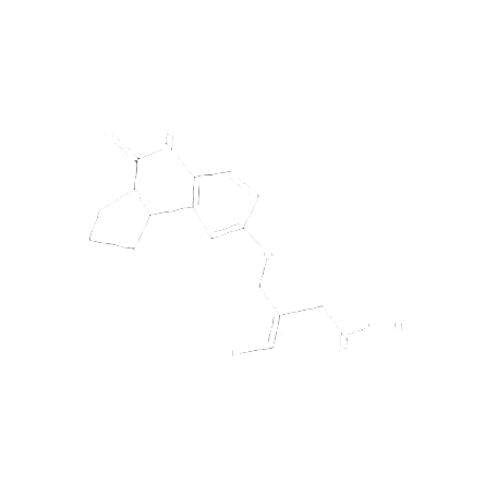 O=C(O)NC/C(=C/F)COc1ccc2c(c1)C1CCCC1C(=O)N2